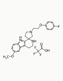 COc1ccc2[nH]c3c(c2c1)CCNC31CCN(CCOc2ccc(F)cc2)C1.O=C(O)C(F)(F)F